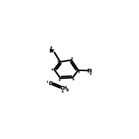 C=O.CCc1cccc(Br)c1